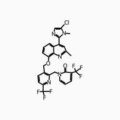 Cc1cc(-c2ncc(Cl)n2C)c2cccc(OCc3ccc(C(F)(F)F)nc3Cn3cccc(C(F)(F)F)c3=O)c2n1